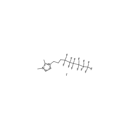 Cc1n(C)cc[n+]1CCCC(F)(F)C(F)(F)C(F)(F)C(F)(F)C(F)(F)C(F)(F)F.[I-]